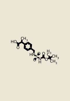 CC(C(=O)O)c1ccc(CNS(=O)(=O)NC(=O)OC(C)(C)C)cc1